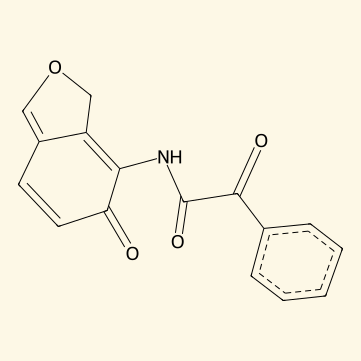 O=C1C=CC2=COCC2=C1NC(=O)C(=O)c1ccccc1